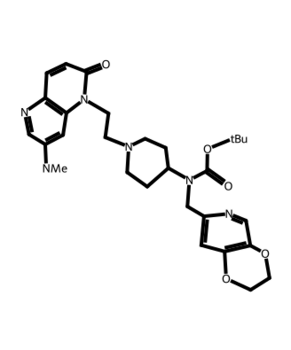 CNc1cnc2ccc(=O)n(CCN3CCC(N(Cc4cc5c(cn4)OCCO5)C(=O)OC(C)(C)C)CC3)c2c1